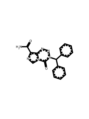 NC(=O)c1ncn2c(=O)n(C(c3ccccc3)c3ccccc3)nnc12